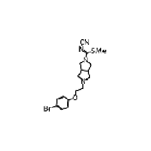 CSC(=NC#N)N1CC2CN(CCOc3ccc(Br)cc3)CC2C1